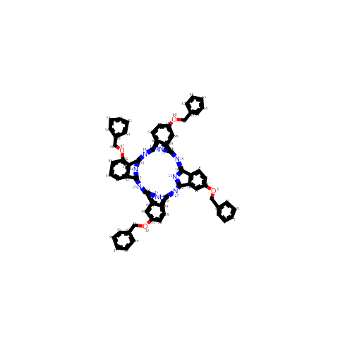 c1ccc(COc2ccc3c(c2)-c2nc-3nc3[nH]c(nc4nc(nc5[nH]c(n2)c2ccc(OCc6ccccc6)cc52)-c2cccc(OCc5ccccc5)c2-4)c2ccc(OCc4ccccc4)cc32)cc1